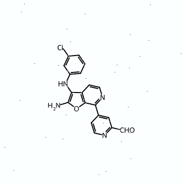 Nc1oc2c(-c3ccnc(C=O)c3)nccc2c1Nc1cccc(Cl)c1